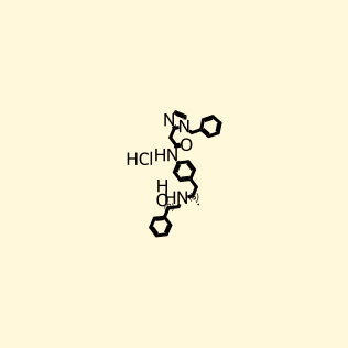 C[C@@H](Cc1ccc(NC(=O)Cc2nccn2Cc2ccccc2)cc1)NC[C@H](O)c1ccccc1.Cl